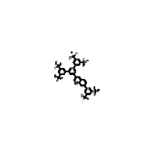 FC(F)(F)c1cc(-c2cc(-c3cc(C(F)(F)F)cc(C(F)(F)F)c3)cc(-c3cnc4cc(-c5cc(C(F)(F)F)cc(C(F)(F)F)c5)ccc4c3)c2)cc(C(F)(F)F)c1